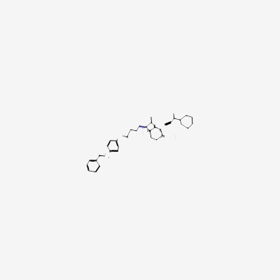 CC1/C(=C/CCC(=O)Oc2ccc(NC(=O)c3ccccc3)cc2)[C@H]2CC[C@H](O)[C@H](C#CC(O)C3CCCCC3)[C@@H]12